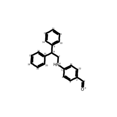 O=Cc1ccc(NCC(c2ccccc2)c2ccccc2)cc1